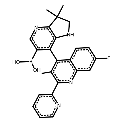 Cc1c(-c2ccccn2)nc2cc(F)ccc2c1-c1c(B(O)O)cnc2c1NCC2(C)C